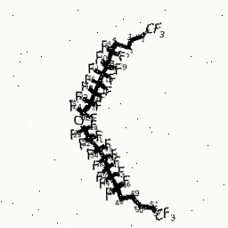 FC(F)(F)CCCCC(F)(F)C(F)(F)C(F)(F)C(F)(F)C(F)(F)C(F)(F)C(F)(F)OC(F)(F)C(F)(F)C(F)(F)C(F)(F)C(F)(F)C(F)(F)C(F)(F)CCCCC(F)(F)F